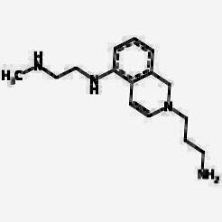 CNCCNc1cccc2c1C=CN(CCCN)C2